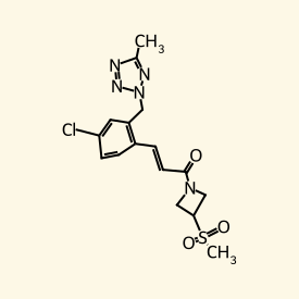 Cc1nnn(Cc2cc(Cl)ccc2C=CC(=O)N2CC(S(C)(=O)=O)C2)n1